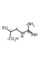 CCC(CNC(=N)N)C(=O)O